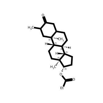 CCC(=O)O[C@H]1CC[C@H]2[C@@H]3CCC4CC(=O)C(C)C[C@]4(C)[C@H]3CC[C@]12C